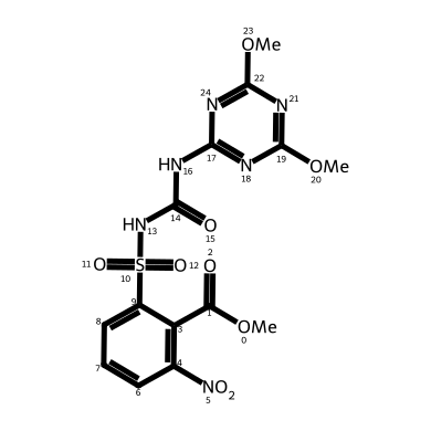 COC(=O)c1c([N+](=O)[O-])cccc1S(=O)(=O)NC(=O)Nc1nc(OC)nc(OC)n1